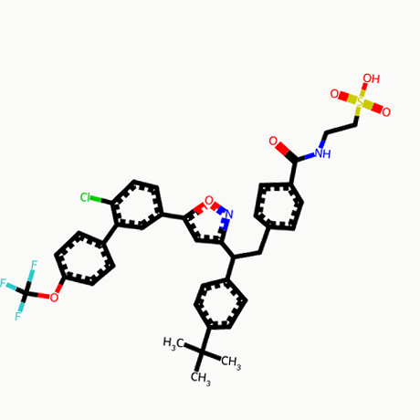 CC(C)(C)c1ccc(C(Cc2ccc(C(=O)NCCS(=O)(=O)O)cc2)c2cc(-c3ccc(Cl)c(-c4ccc(OC(F)(F)F)cc4)c3)on2)cc1